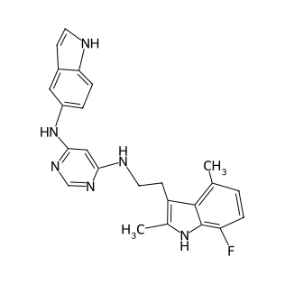 Cc1[nH]c2c(F)ccc(C)c2c1CCNc1cc(Nc2ccc3[nH]ccc3c2)ncn1